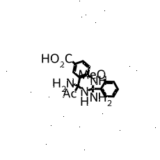 COc1ccccc1C1(N)Nc2ccc(C(=O)O)cc2C(N)(C(C)=O)N1